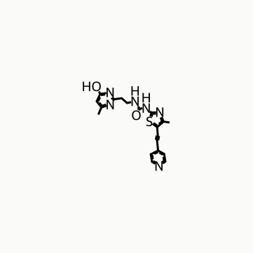 Cc1cc(O)nc(CCNC(=O)Nc2nc(C)c(C#Cc3ccncc3)s2)n1